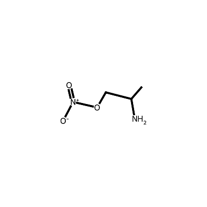 CC(N)CO[N+](=O)[O-]